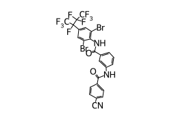 N#Cc1ccc(C(=O)Nc2cccc(C(=O)Nc3c(Br)cc(C(F)(C(F)(F)F)C(F)(F)C(F)(F)F)cc3Br)c2)cc1